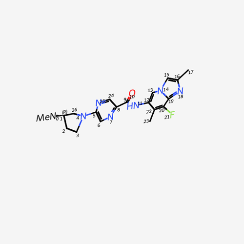 CN[C@@H]1CCN(c2cnc(C(=O)Nc3cn4cc(C)nc4c(F)c3C)cn2)C1